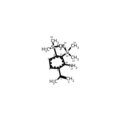 C=C(C)c1ccc([Si](C)(C)C)c([Si](C)(C)C)c1N